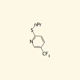 CCCSc1ccc(C(F)(F)F)cn1